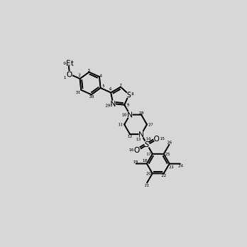 CCOc1ccc(-c2csc(N3CCN(S(=O)(=O)c4c(C)c(C)cc(C)c4C)CC3)n2)cc1